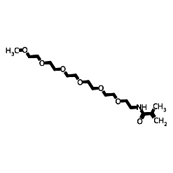 C=C(C)C(=O)NCCOCCOCCOCCOCCOCCOC